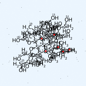 C[SiH](C)O[Si](C)(C)O[Si](O[Si](O[SiH2]O)([SiH2]O)[SiH](O)[SiH](C)C)([Si](O[Si](O[SiH2]O)([SiH2]O)[SiH2]O)([Si](O[SiH2]O)([SiH2]O)[SiH2]O)[Si](O[SiH2]O)([SiH2]O)[SiH2]O)[Si](O[Si](O[SiH2]O)([SiH2]O)[SiH2]O)([Si](O[SiH2]O)([SiH2]O)[SiH2]O)[Si](O[SiH2]O)([SiH2]O)[SiH](C)O